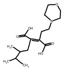 CC(C)C(C)C/C(C(=O)O)=C(/CCN1CCOCC1)C(=O)O